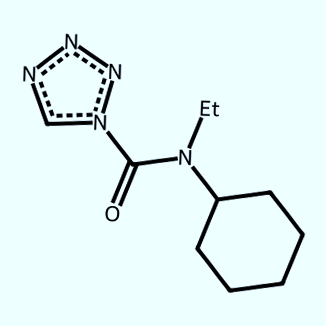 CCN(C(=O)n1cnnn1)C1CCCCC1